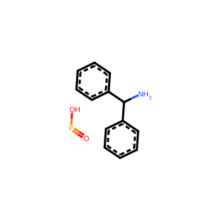 NC(c1ccccc1)c1ccccc1.O=PO